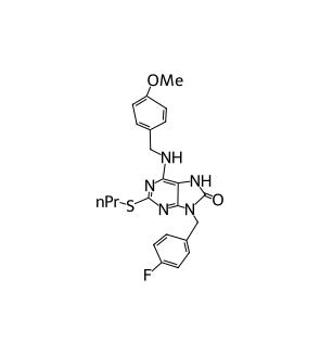 CCCSc1nc(NCc2ccc(OC)cc2)c2[nH]c(=O)n(Cc3ccc(F)cc3)c2n1